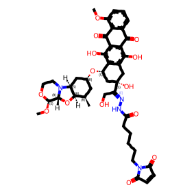 COc1cccc2c1C(=O)c1c(O)c3c(c(O)c1C2=O)C[C@@](O)(/C(CO)=N/NC(=O)CCCCCN1C(=O)C=CC1=O)C[C@@H]3O[C@@H]1C[C@@H](C)[C@H]2O[C@@H]3[C@@H](OC)OCCN3[C@H]2C1